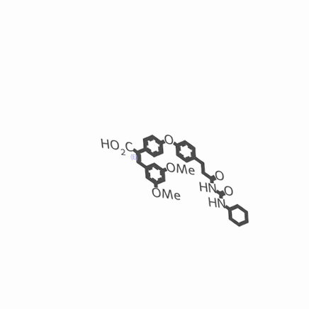 COc1cc(/C=C(/C(=O)O)c2ccc(Oc3ccc(CCC(=O)NC(=O)NC4CCCCC4)cc3)cc2)cc(OC)c1